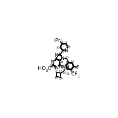 CC(C)c1ccnc(-c2nc3nc(C(=O)O)nc(N[C@H](C)C4CCC4)c3n2Cc2ccc(C(F)(F)F)c(F)c2)c1